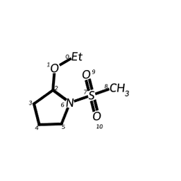 CCOC1CCCN1S(C)(=O)=O